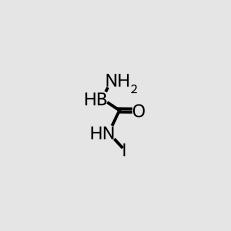 NBC(=O)NI